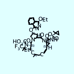 CCOc1nnc(O[C@@H]2C[C@H]3C(=O)N[C@]4(C(=O)NS(=O)(=O)C5(C)CC5)C[C@H]4C=CCC[C@@H](C)C[C@@H](CC)[C@H](N(C(=O)O)C(C)(C)C(F)(F)F)C(=O)N3C2)c2ccccc12